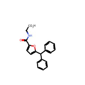 O=C(O)CNC(=O)c1ccc(C(c2ccccc2)c2ccccc2)o1